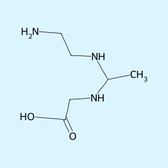 CC(NCCN)NCC(=O)O